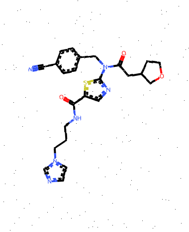 N#Cc1ccc(CN(C(=O)CC2CCOC2)c2ncc(C(=O)NCCCn3ccnc3)s2)cc1